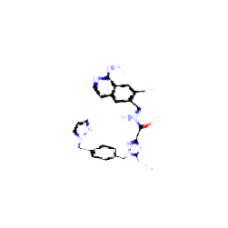 Cc1cc2c(N)nccc2cc1CNC(=O)c1nc(C)n(Cc2ccc(Cn3cccn3)cc2)n1